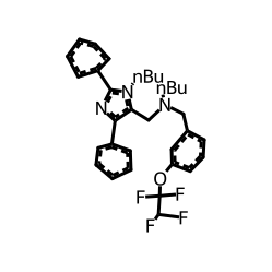 CCCCN(Cc1cccc(OC(F)(F)C(F)F)c1)Cc1c(-c2ccccc2)nc(-c2ccccc2)n1CCCC